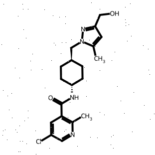 Cc1ncc(Cl)cc1C(=O)N[C@H]1CC[C@H](Cn2nc(CO)cc2C)CC1